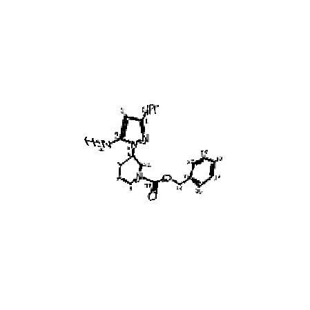 CC(C)c1cc(N)n(C2CCCN(C(=O)OCc3ccccc3)C2)n1